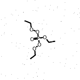 CCOOP(=O)(OCC)OOCC